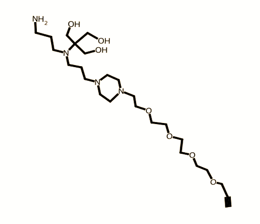 C#CCOCCOCCOCCOCCN1CCN(CCCN(CCCN)C(CO)(CO)CO)CC1